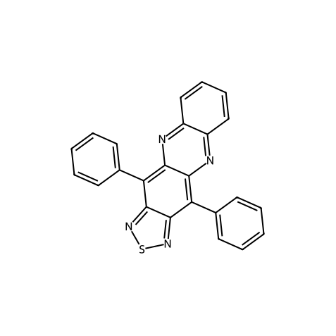 c1ccc(-c2c3nsnc3c(-c3ccccc3)c3nc4ccccc4nc23)cc1